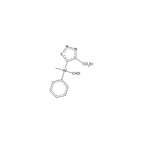 CCOC(=O)c1nnsc1[N+](C)(C=O)c1ccccc1